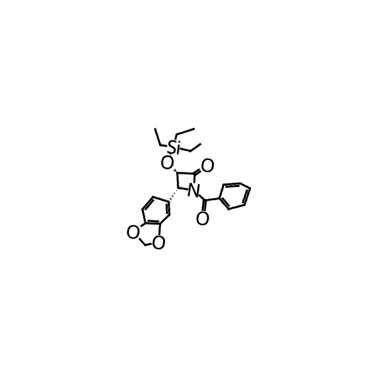 CC[Si](CC)(CC)O[C@@H]1C(=O)N(C(=O)c2ccccc2)[C@@H]1c1ccc2c(c1)OCO2